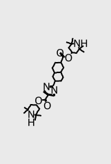 CC1(C)CC(OC(=O)c2cnc(C3CCC4CC(C(=O)OC5CC(C)(C)NC(C)(C)C5)CCC4C3)nc2)CC(C)(C)N1